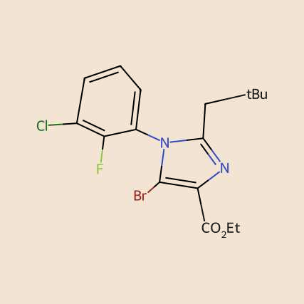 CCOC(=O)c1nc(CC(C)(C)C)n(-c2cccc(Cl)c2F)c1Br